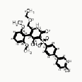 CCOCc1[nH]c(=O)c(S(=O)(=O)c2ccc(-c3ccc(F)nc3)cc2)c(O)c1-c1c(OC)cccc1OC